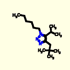 CCCCCCn1nnc(CC(C)(C)C)c1C(C)C